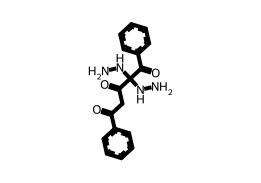 NNC(NN)(C(=O)CC(=O)c1ccccc1)C(=O)c1ccccc1